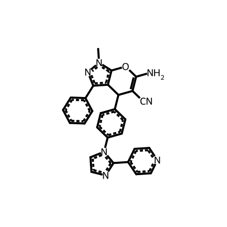 Cn1nc(-c2ccccc2)c2c1OC(N)=C(C#N)C2c1ccc(-n2ccnc2-c2ccncc2)cc1